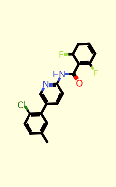 Cc1ccc(Cl)c(-c2ccc(NC(=O)C3=C(F)C=CCC3F)nc2)c1